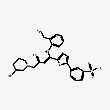 CCc1ccccc1N/C(=C\C(=N)CN1CCCC(O)C1)c1ccc(-c2cccc(S(C)(=O)=O)c2)s1